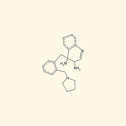 NC1C=Nc2ccccc2C1(N)Cc1ccccc1CN1CCCC1